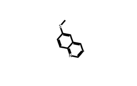 CSc1ccc2nc[c]cc2c1